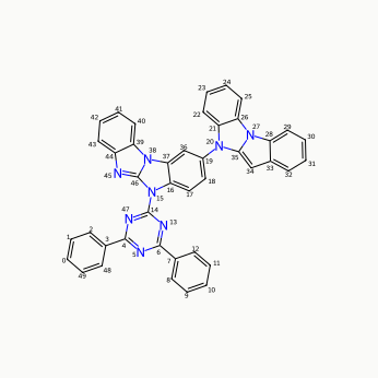 c1ccc(-c2nc(-c3ccccc3)nc(-n3c4ccc(-n5c6ccccc6n6c7ccccc7cc56)cc4n4c5ccccc5nc34)n2)cc1